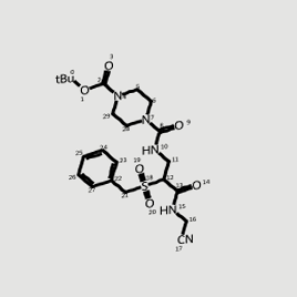 CC(C)(C)OC(=O)N1CCN(C(=O)NCC(C(=O)NCC#N)S(=O)(=O)Cc2ccccc2)CC1